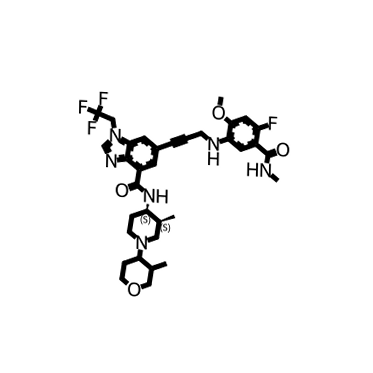 CNC(=O)c1cc(NCC#Cc2cc(C(=O)N[C@H]3CCN(C4CCOCC4C)C[C@@H]3C)c3ncn(CC(F)(F)F)c3c2)c(OC)cc1F